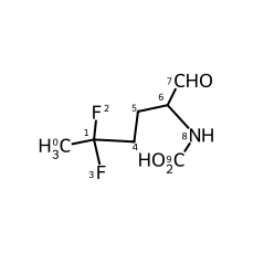 CC(F)(F)CCC(C=O)NC(=O)O